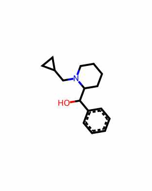 OC(c1ccccc1)C1CCCCN1CC1CC1